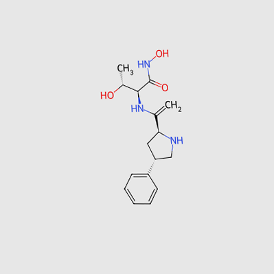 C=C(N[C@H](C(=O)NO)[C@@H](C)O)[C@@H]1C[C@@H](c2ccccc2)CN1